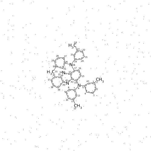 Cc1cccc(N(c2cccc(C)c2)c2ccc(N(c3cccc(C)c3)c3cccc(C)c3)c3nc4ccccc4nc23)c1